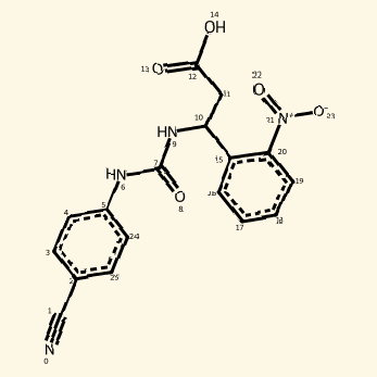 N#Cc1ccc(NC(=O)NC(CC(=O)O)c2ccccc2[N+](=O)[O-])cc1